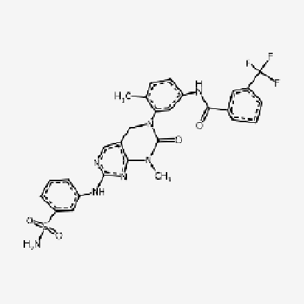 Cc1ccc(NC(=O)c2cccc(C(F)(F)F)c2)cc1N1Cc2cnc(Nc3cccc(S(N)(=O)=O)c3)nc2N(C)C1=O